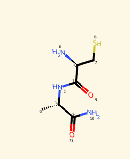 C[C@H](NC(=O)[C@@H](N)CS)C(N)=O